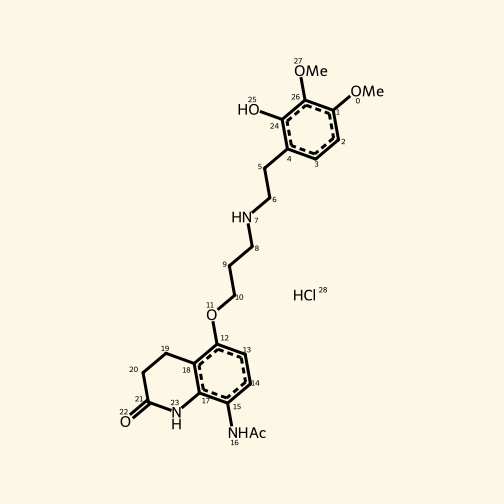 COc1ccc(CCNCCCOc2ccc(NC(C)=O)c3c2CCC(=O)N3)c(O)c1OC.Cl